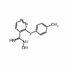 Cc1ccc(Sc2nnccc2C(=N)NO)cc1